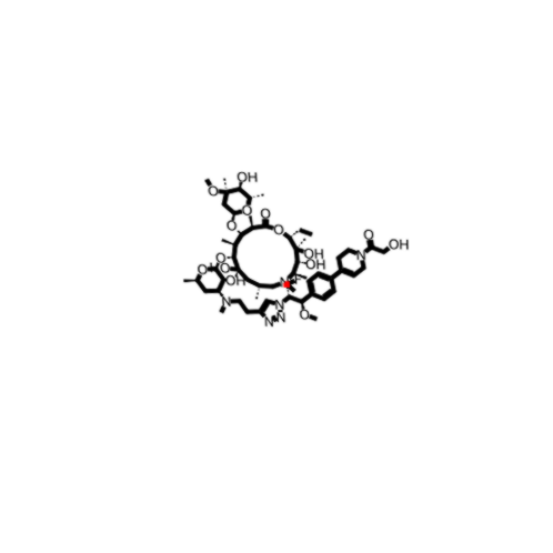 CC[C@H]1OC(=O)[C@H](C)[C@@H](O[C@H]2C[C@@](C)(OC)[C@@H](O)[C@H](C)O2)[C@H](C)[C@@H](O[C@@H]2O[C@H](C)C[C@H](N(C)CCc3cn([C@H](CF)[C@H](OC)c4ccc(C5=CCN(C(=O)CO)CC5)cc4)nn3)[C@H]2O)[C@](C)(O)C[C@@H](C)CN(C)[C@H](C)[C@@H](O)[C@]1(C)O